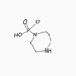 [O]P(=O)(O)N1CCNCC1